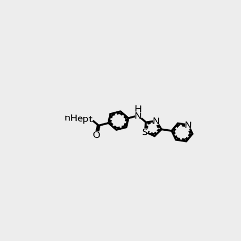 CCCCCCCC(=O)c1ccc(Nc2nc(-c3cccnc3)cs2)cc1